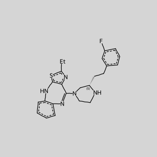 CCc1nc2c(s1)Nc1ccccc1N=C2N1CCN[C@@H](CCc2cccc(F)c2)C1